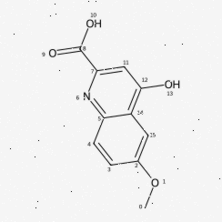 COc1ccc2nc(C(=O)O)cc(O)c2c1